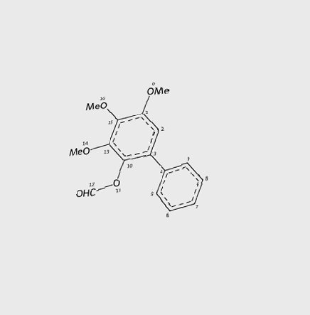 COc1cc(-c2ccccc2)c(OC=O)c(OC)c1OC